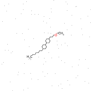 CCCCCCCC1CCC(C2CCC(CCCOCC)CC2)CC1